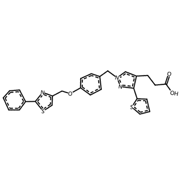 O=C(O)CCc1cn(Cc2ccc(OCc3csc(-c4ccccc4)n3)cc2)nc1-c1cccs1